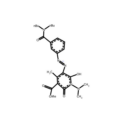 CCCCN(CCCC)C(=O)c1cccc(/N=N/c2c(C)c(C(=O)OC)c(=O)n(N(C)C)c2O)c1